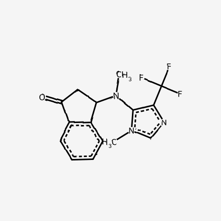 CN(c1c(C(F)(F)F)n[c]n1C)C1CC(=O)c2ccccc21